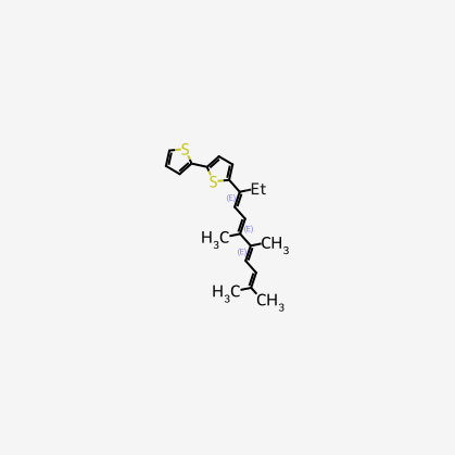 CC\C(=C/C=C(C)/C(C)=C/C=C(C)C)c1ccc(-c2cccs2)s1